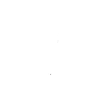 Nc1ccc2c(c1)Cc1c-2[nH]c(=O)c2ccccc12